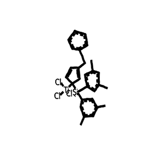 Cc1cc(C)cc([Si](C)(c2cc(C)cc(C)c2)[C]2([Ti]([Cl])([Cl])[Cl])C=CC(Cc3ccccc3)=C2)c1